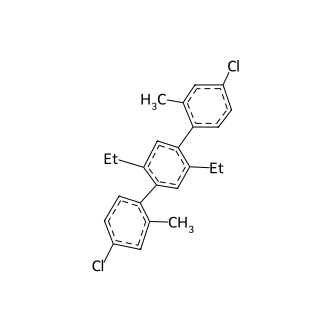 CCc1cc(-c2ccc(Cl)cc2C)c(CC)cc1-c1ccc(Cl)cc1C